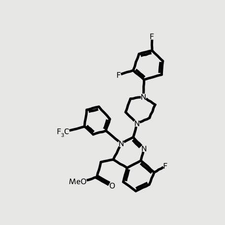 COC(=O)CC1c2cccc(F)c2N=C(N2CCN(c3ccc(F)cc3F)CC2)N1c1cccc(C(F)(F)F)c1